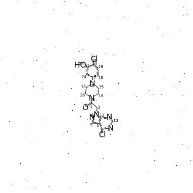 O=C(Cn1ncc2c(Cl)ncnc21)N1CCN(c2ccc(Cl)c(O)c2)CC1